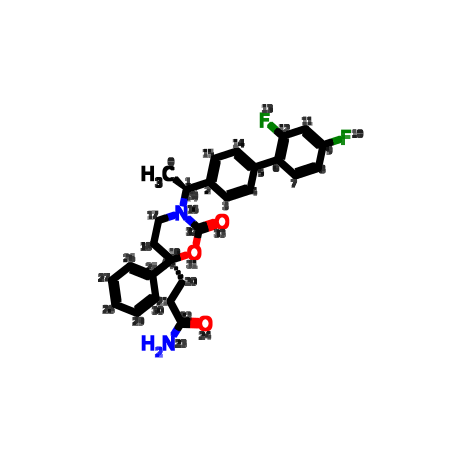 C[C@@H](c1ccc(-c2ccc(F)cc2F)cc1)N1CC[C@](CCC(N)=O)(c2ccccc2)OC1=O